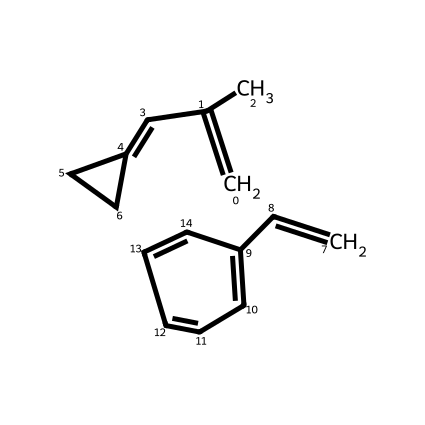 C=C(C)C=C1CC1.C=Cc1ccccc1